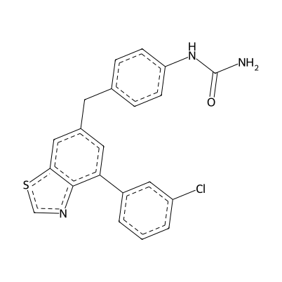 NC(=O)Nc1ccc(Cc2cc(-c3cccc(Cl)c3)c3ncsc3c2)cc1